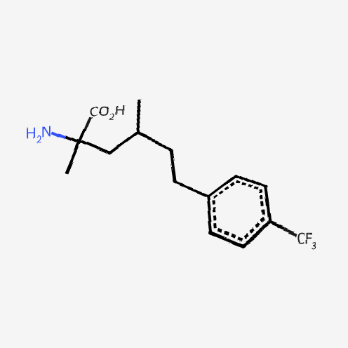 CC(CCc1ccc(C(F)(F)F)cc1)CC(C)(N)C(=O)O